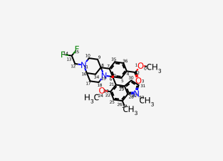 COC(=O)c1ccc(C23CCN(CC(F)F)C(CCN2Cc2c(OC)cc(C)c4c2ccn4C)C3)cc1